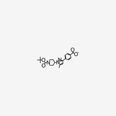 COC(=O)c1ccc(-c2cc(C)n(C3CCN(C(=O)OC(C)(C)C)CC3)n2)cc1